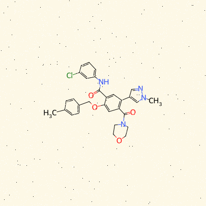 Cc1ccc(COc2cc(C(=O)N3CCOCC3)c(-c3cnn(C)c3)cc2C(=O)Nc2cccc(Cl)c2)cc1